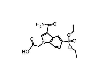 CCOP(=O)(OCC)c1ccc2c(c1)c(C(N)=O)cn2CC(=O)O